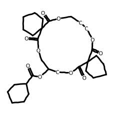 O=C(OC1COC(=O)C2(CCCCC2)C(=O)OCCCOC(=O)C2(CCCCC2)C(=O)OC1)C1CCCCC1